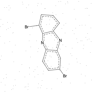 Brc1ccc2nc3c(Br)cccc3nc2c1